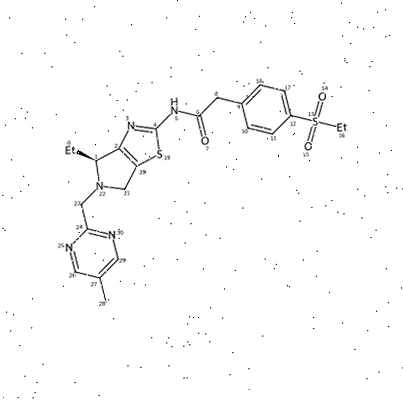 CC[C@H]1c2nc(NC(=O)Cc3ccc(S(=O)(=O)CC)cc3)sc2CN1Cc1ncc(C)cn1